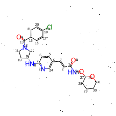 O=C(/C=C/c1ccc(N[C@@H]2CCN(C(=O)c3ccc(Cl)cc3)C2)nc1)NOC1CCCCO1